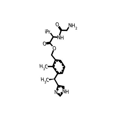 Cc1c(COC(=O)C(NC(=O)CN)C(C)C)cccc1[C@H](C)c1c[nH]cn1